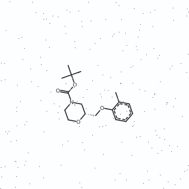 Cc1ccccc1OC[C@H]1CN(C(=O)OC(C)(C)C)CCO1